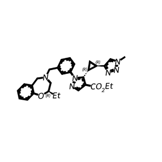 CCOC(=O)c1cnn(-c2cccc(CN3Cc4ccccc4O[C@H](CC)C3)c2)c1[C@@H]1C[C@H]1c1cn(C)nn1